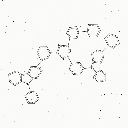 c1ccc(-c2cccc(-c3nc(-c4cccc(-c5ccc6c(c5)c5ccccc5n6-c5ccccc5)c4)nc(-c4cccc(-n5c6ccccc6c6cc(-c7ccccc7)ccc65)c4)n3)c2)cc1